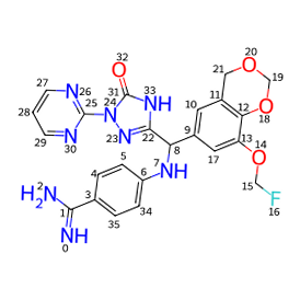 N=C(N)c1ccc(NC(c2cc3c(c(OCF)c2)OCOC3)c2nn(-c3ncccn3)c(=O)[nH]2)cc1